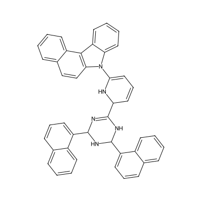 C1=CC(C2=NC(c3cccc4ccccc34)NC(c3cccc4ccccc34)N2)NC(n2c3ccccc3c3c4ccccc4ccc32)=C1